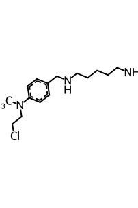 CN(CCCl)c1ccc(CNCCCCCN)cc1